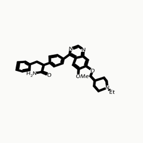 CCN1CCC(COc2cc3ncnc(-c4ccc(C(Cc5ccccc5)C(N)=O)cc4)c3cc2OC)CC1